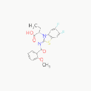 CCC(C(=O)O)n1/c(=N/C(=O)c2ccccc2OC)sc2cc(F)c(F)cc21